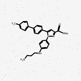 CNC(=O)c1cc(-c2ccc(-c3ccc(C(F)(F)F)cc3)cc2)n(-c2ccc(NCCCN)cc2)n1